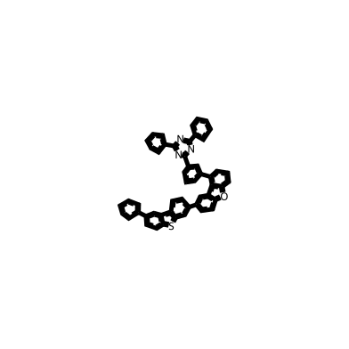 c1ccc(-c2ccc3sc4cc(-c5ccc6oc7cccc(-c8cccc(-c9nc(-c%10ccccc%10)nc(-c%10ccccc%10)n9)c8)c7c6c5)ccc4c3c2)cc1